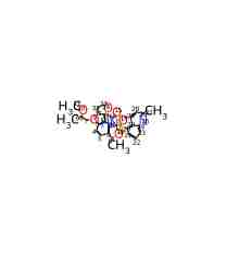 CCc1ccc(OC[C@H](C)OC)c([C@]2(C(=O)NS(=O)(=O)c3cccc4nc(C)ccc34)CCCO2)c1